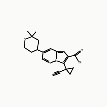 CC1(C)CC(c2cnn3c(C4(C#N)CC4)c(C(=O)O)cc3c2)CCO1